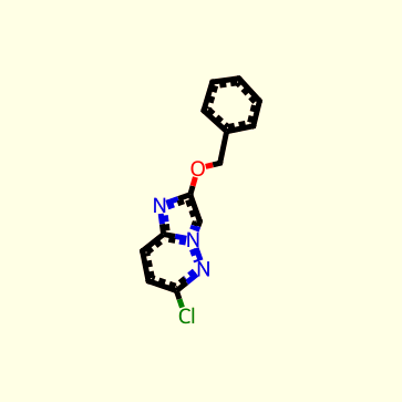 Clc1ccc2nc(OCc3ccccc3)cn2n1